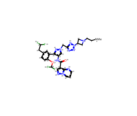 CNCCN1CC(n2nnc(Cn3cc(NC(=O)c4cnn5cccnc45)c(-c4cc(CC(F)F)ccc4OC(F)F)n3)n2)C1